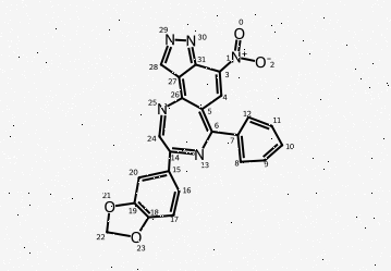 O=[N+]([O-])c1cc2c(-c3ccccc3)nc(-c3ccc4c(c3)OCO4)cnc2c2cnnc12